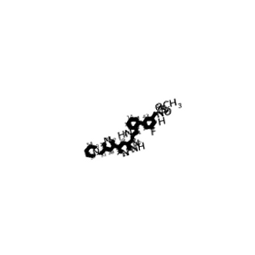 CS(=O)(=O)NCc1cc(F)cc(-c2cccc3[nH]c(-c4n[nH]c5ncc(-c6cncc(CN7CCCCC7)c6)cc45)cc23)c1